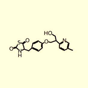 Cc1ccc(C(CO)COc2ccc(CC3NC(=O)SC3=O)cc2)nc1